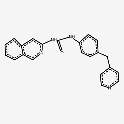 O=C(Nc1ccc(Cc2ccncc2)cc1)Nc1cc2ccccc2cn1